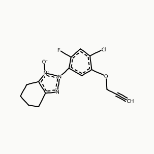 C#CCOc1cc(-n2nc3c([n+]2[O-])CCCC3)c(F)cc1Cl